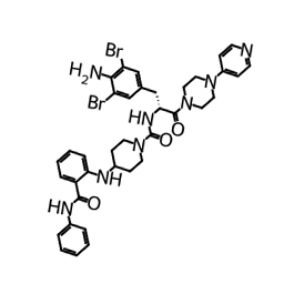 Nc1c(Br)cc(C[C@@H](NC(=O)N2CCC(Nc3ccccc3C(=O)Nc3ccccc3)CC2)C(=O)N2CCN(c3ccncc3)CC2)cc1Br